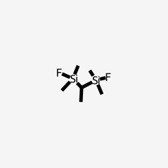 CC([Si](C)(C)F)[Si](C)(C)F